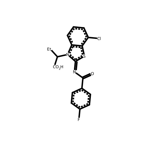 CCC(C(=O)O)n1c(=NC(=O)c2ccc(F)cc2)sc2c(Cl)cccc21